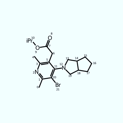 Cc1nc(C)c(CC(=O)OC(C)C)c(N2CC3CCCC3C2)c1Br